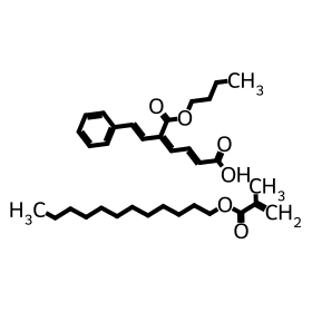 C=C(C)C(=O)OCCCCCCCCCCCC.CCCCOC(=O)C(C=Cc1ccccc1)=CC=CC(=O)O